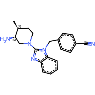 C[C@H]1CCN(c2nc3ccccc3n2Cc2ccc(C#N)cc2)C[C@H]1N